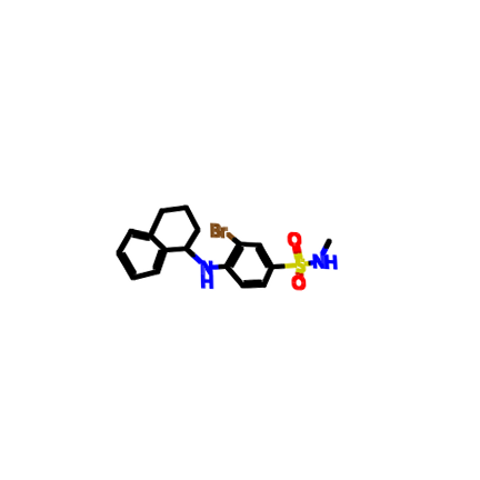 CNS(=O)(=O)c1ccc(NC2CCCc3ccccc32)c(Br)c1